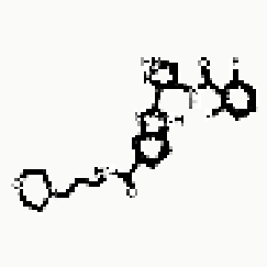 O=C(NCCCN1CCOCC1)c1ccc2[nH]c(-c3n[nH]cc3NC(=O)c3c(F)cccc3F)nc2c1